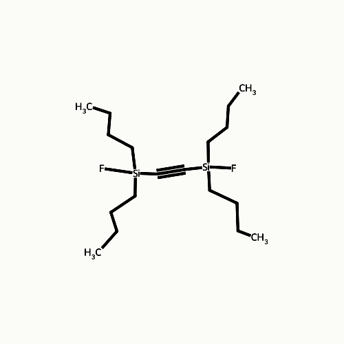 CCCC[Si](F)(C#C[Si](F)(CCCC)CCCC)CCCC